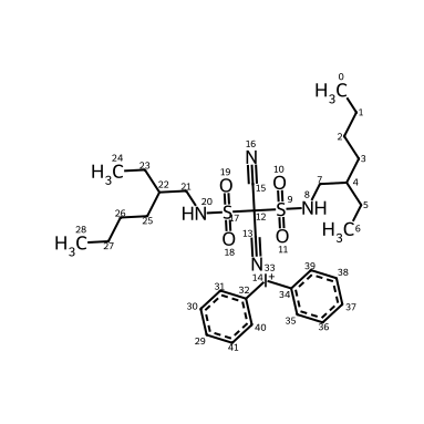 CCCCC(CC)CNS(=O)(=O)C(C#N)(C#N)S(=O)(=O)NCC(CC)CCCC.c1ccc([I+]c2ccccc2)cc1